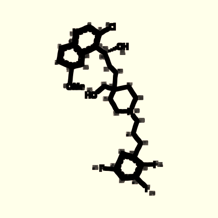 COc1ccc2ncc(Cl)c([C@H](O)CCC3(CO)CCN(CCCc4cc(F)cc(F)c4F)CC3)c2c1